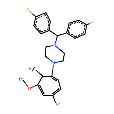 CCOC1=CC(C(C)C)=CC=C(N2CCN(C(c3ccc(F)cc3)c3ccc(F)cc3)CC2)C1C